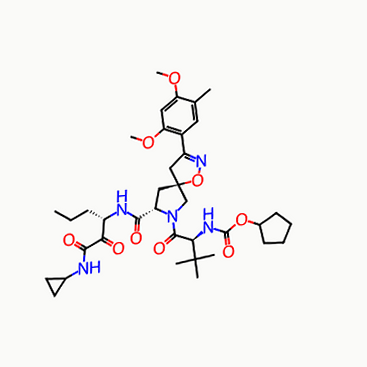 CCC[C@H](NC(=O)[C@@H]1C[C@]2(CC(c3cc(C)c(OC)cc3OC)=NO2)CN1C(=O)[C@@H](NC(=O)OC1CCCC1)C(C)(C)C)C(=O)C(=O)NC1CC1